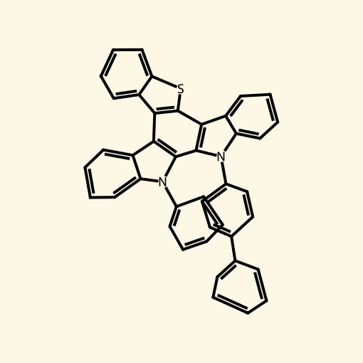 c1ccc(-c2ccc(-n3c4ccccc4c4c5sc6ccccc6c5c5c6ccccc6n(-c6ccccc6)c5c43)cc2)cc1